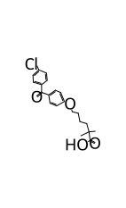 CC(C)(CCCCOc1ccc(C(=O)c2ccc(Cl)cc2)cc1)C(=O)O